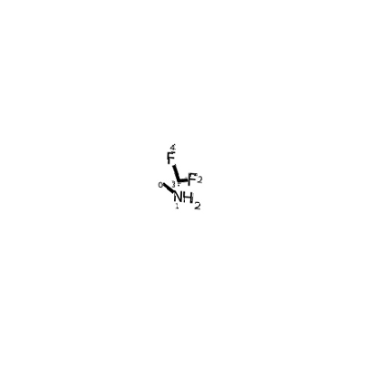 CN.F[CH]F